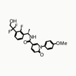 COc1ccc(-n2cc(C(=O)N[C@H](C)c3cccc(C(F)(F)CO)c3F)ccc2=O)cc1